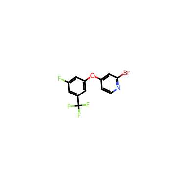 Fc1cc(Oc2ccnc(Br)c2)cc(C(F)(F)F)c1